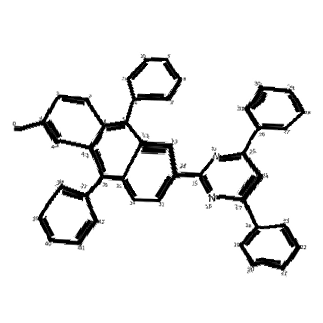 Cc1ccc2c(-c3ccccc3)c3cc(-c4nc(-c5ccccc5)cc(-c5ccccc5)n4)ccc3c(-c3ccccc3)c2c1